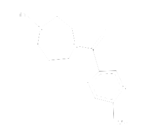 COc1ccc(C(=O)N2CCCN(C(C)C)CC2)cn1